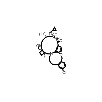 C[C@H]1C/C=C\[C@]2(CO)CC[C@H]2CN2CCCCc3cc(Cl)ccc3COc3ccc(cc32)C(=O)NS(=O)(=O)[C@H]1CC1CC1